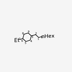 CCCCCCCCC1CCC(CC)CC1